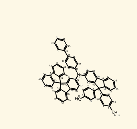 Cc1ccc(C2(c3ccc(O)cc3)c3ccccc3-c3ccc(N(c4ccc(-c5ccccc5)cc4)c4ccc5c(c4)C(c4ccccc4)(c4ccccc4)c4ccccc4-5)cc32)cc1